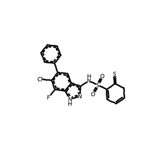 O=S(=O)(Nc1n[nH]c2c(F)c(Cl)c(-c3ccccc3)cc12)C1=CC=CCC1=S